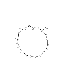 [O]C1CCCCCCCCCCCCCCCCCCC1